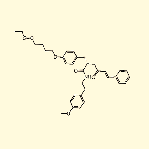 CCOOCCCCOc1ccc(C[C@H](CC(=O)/C=C/c2ccccc2)C(=O)NCCc2ccc(OC)cc2)cc1